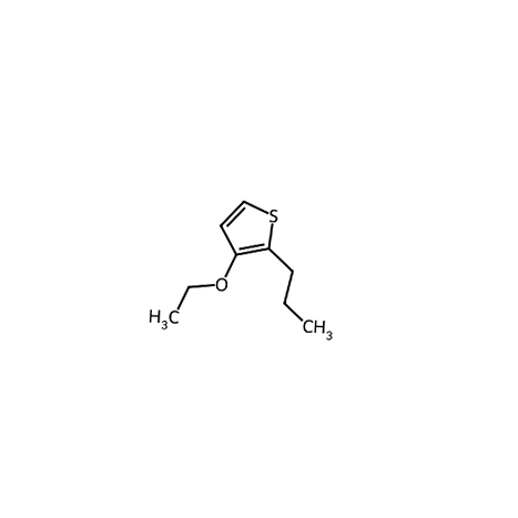 CCCc1sccc1OCC